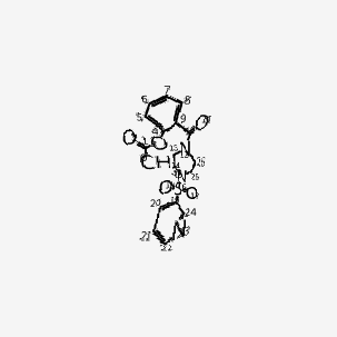 CC(=O)Oc1ccccc1C(=O)N1CCN(S(=O)(=O)c2cccnc2)CC1